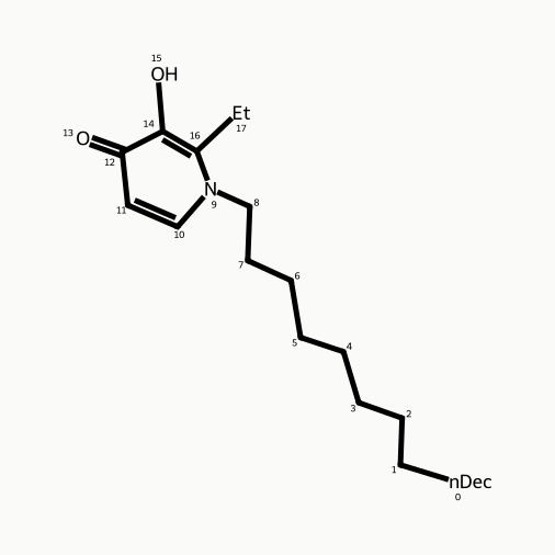 CCCCCCCCCCCCCCCCCCn1ccc(=O)c(O)c1CC